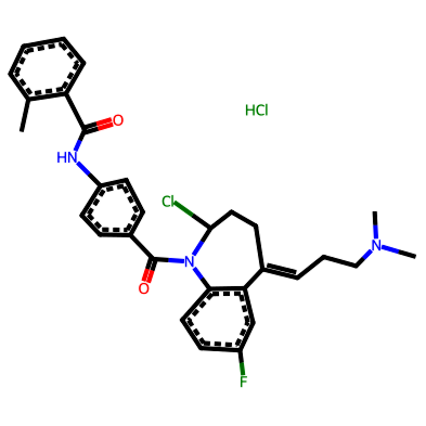 Cc1ccccc1C(=O)Nc1ccc(C(=O)N2c3ccc(F)cc3C(=CCCN(C)C)CCC2Cl)cc1.Cl